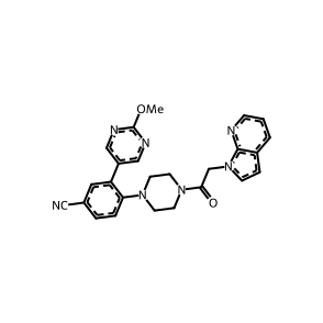 COc1ncc(-c2cc(C#N)ccc2N2CCN(C(=O)Cn3ccc4cccnc43)CC2)cn1